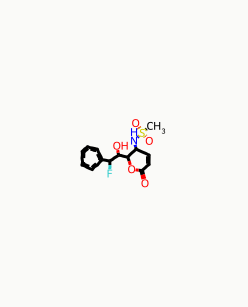 CS(=O)(=O)NC1C=CC(=O)OC1C(O)C(F)c1ccccc1